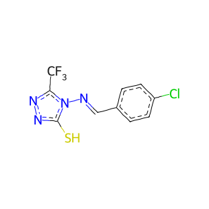 FC(F)(F)c1nnc(S)n1N=Cc1ccc(Cl)cc1